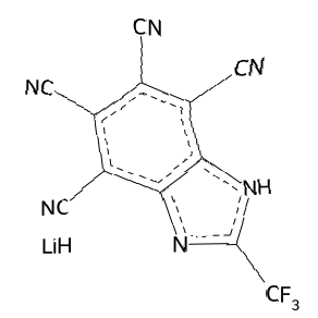 N#Cc1c(C#N)c(C#N)c2[nH]c(C(F)(F)F)nc2c1C#N.[LiH]